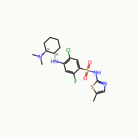 Cc1cnc(NS(=O)(=O)c2cc(Cl)c(N[C@H]3CCCC[C@@H]3N(C)C)cc2F)s1